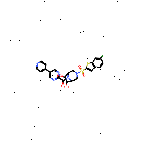 O=C(c1ncc(-c2ccncc2)cn1)N1C2CN(S(=O)(=O)c3cc4ccc(Cl)cc4s3)CC1C(O)C2O